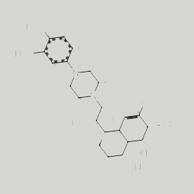 CC(=O)O[C@@H]1[C][C@@]2(O)[C@H](C)CC[C@@H]([C@H](C)CN3CCN(c4ccc(C)c(C)c4)CC3)[C@H]2C=C1C